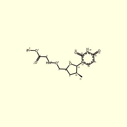 CC(C)OC(=O)CNOCC1C[C@H](C)C(n2ccc(=O)[nH]c2=O)O1